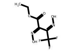 CCOC(=O)C(=N/O)/C(=N\O)C(F)(F)F